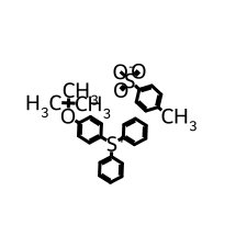 CC(C)(C)Oc1ccc([S+](c2ccccc2)c2ccccc2)cc1.Cc1ccc(S(=O)(=O)[O-])cc1